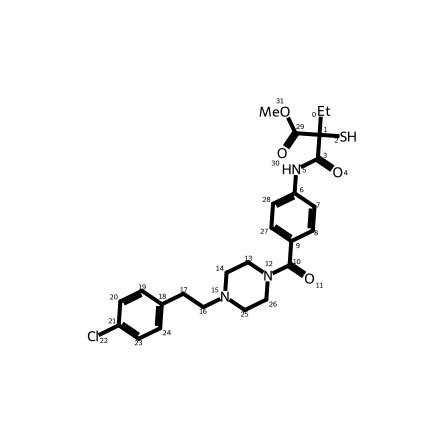 CCC(S)(C(=O)Nc1ccc(C(=O)N2CCN(CCc3ccc(Cl)cc3)CC2)cc1)C(=O)OC